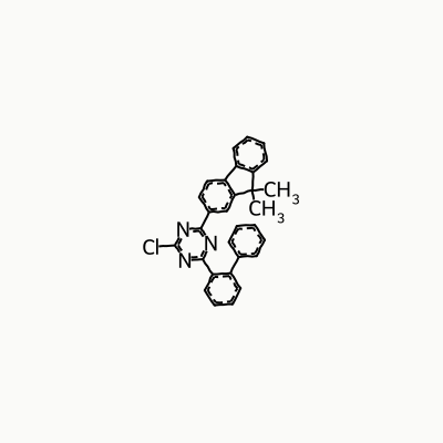 CC1(C)c2ccccc2-c2ccc(-c3nc(Cl)nc(-c4ccccc4-c4ccccc4)n3)cc21